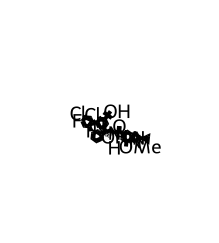 COc1cc(C(=O)NC[C@@](O)(c2ccccc2)c2cc(C(C)(C)O)c(Cl)c(-c3cc(Cl)c(F)cc3F)n2)cc2cn(C3CC3)nc12